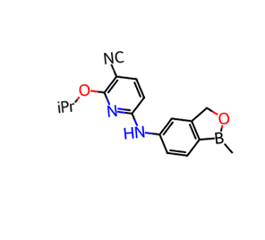 [C-]#[N+]c1ccc(Nc2ccc3c(c2)COB3C)nc1OC(C)C